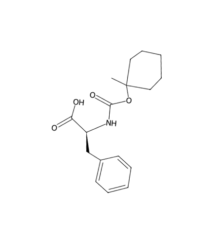 CC1(OC(=O)N[C@@H](Cc2ccccc2)C(=O)O)CCCCC1